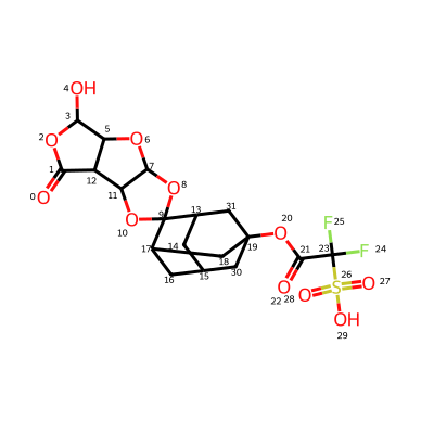 O=C1OC(O)C2OC3OC4(OC3C12)C1CC2CC4CC(OC(=O)C(F)(F)S(=O)(=O)O)(C2)C1